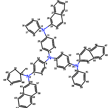 CC1(N(c2ccc(N(c3ccc(N(c4ccccc4)c4ccc5ccccc5c4)cc3)c3ccc(N(c4ccccc4)c4ccc5ccccc5c4)cc3)cc2)c2ccc3ccccc3c2)C=CC=CC1